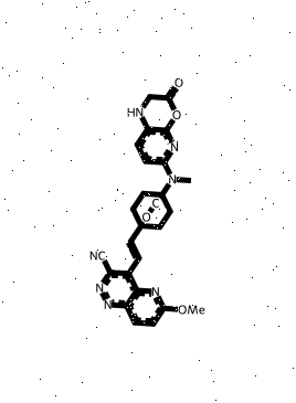 COc1ccc2nnc(C#N)c(/C=C/C34CCC(N(C)c5ccc6c(n5)OC(=O)CN6)(CC3)CO4)c2n1